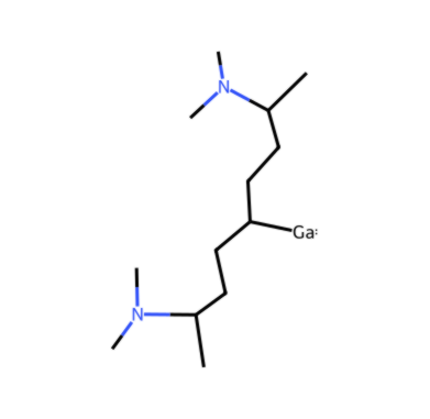 CC(CC[CH]([Ga])CCC(C)N(C)C)N(C)C